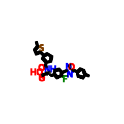 Cc1ccc(-c2nc(-c3ccc(C[C@@H](NC(=O)c4cccc(-c5ccc(C)s5)c4)C(=O)O)cc3F)no2)cc1